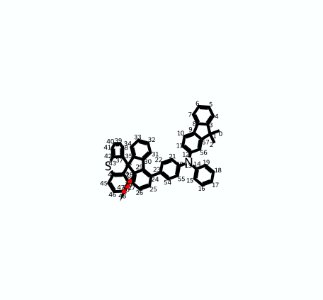 CC1(C)c2ccccc2-c2ccc(N(c3ccccc3)c3ccc(-c4cccc5c4-c4ccccc4C54c5ccccc5Sc5ccc6ccccc6c54)cc3)cc21